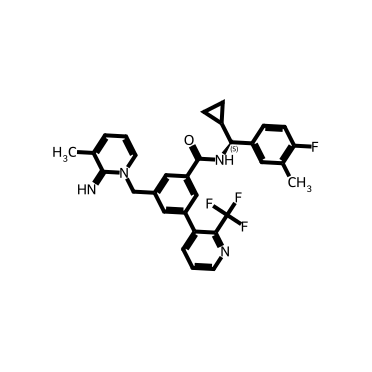 Cc1cc([C@@H](NC(=O)c2cc(Cn3cccc(C)c3=N)cc(-c3cccnc3C(F)(F)F)c2)C2CC2)ccc1F